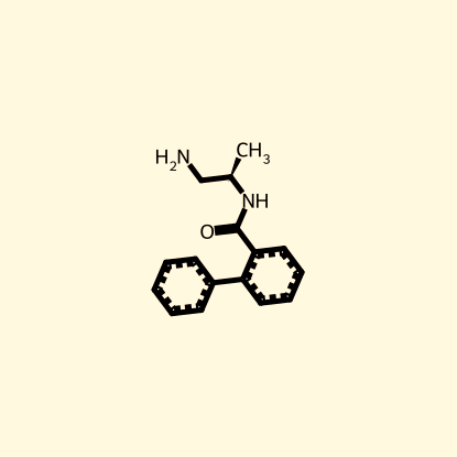 C[C@H](CN)NC(=O)c1ccccc1-c1ccccc1